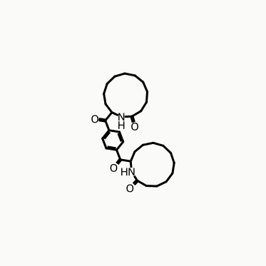 O=C1CCCCCCCCCCC(C(=O)c2ccc(C(=O)C3CCCCCCCCCCC(=O)N3)cc2)N1